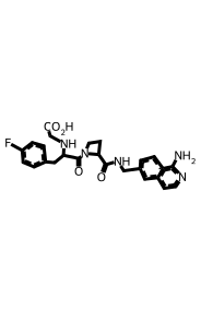 Nc1nccc2cc(CNC(=O)C3CCN3C(=O)C(Cc3ccc(F)cc3)NCC(=O)O)ccc12